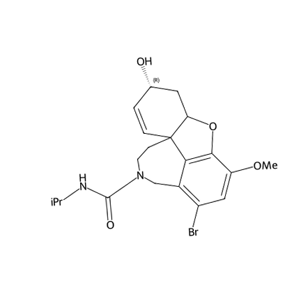 COc1cc(Br)c2c3c1OC1C[C@@H](O)C=CC31CCN(C(=O)NC(C)C)C2